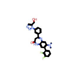 CN(C)c1cc2c(cc1-c1cccc(F)c1F)NC(=O)CC(c1cccc(-n3nncc3CO)c1)=N2